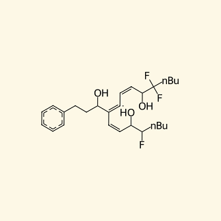 CCCCC(F)C(O)\C=C/C(=[C]/C=C\C(O)C(F)(F)CCCC)C(O)CCc1ccccc1